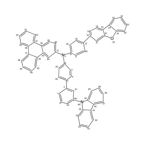 c1cc(-c2ccc(N(c3ccc(-c4ccc5c(c4)oc4ccccc45)cc3)c3ccc4c5ccccc5c5ccccc5c4c3)cc2)cc(-n2c3ccccc3c3ccccc32)c1